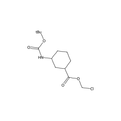 CC(C)(C)OC(=O)NC1CCCC(C(=O)OCCl)C1